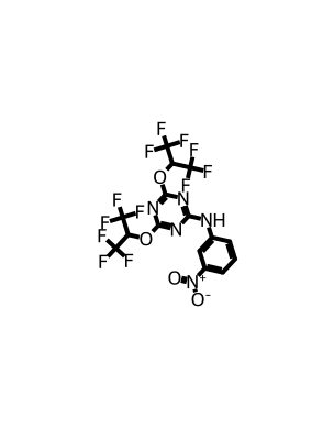 O=[N+]([O-])c1cccc(Nc2nc(OC(C(F)(F)F)C(F)(F)F)nc(OC(C(F)(F)F)C(F)(F)F)n2)c1